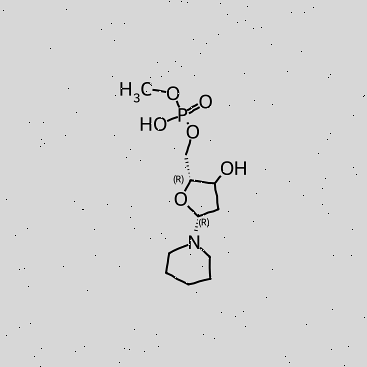 COP(=O)(O)OC[C@H]1O[C@@H](N2CCCCC2)CC1O